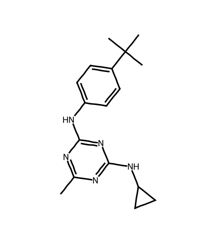 Cc1nc(Nc2ccc(C(C)(C)C)cc2)nc(NC2CC2)n1